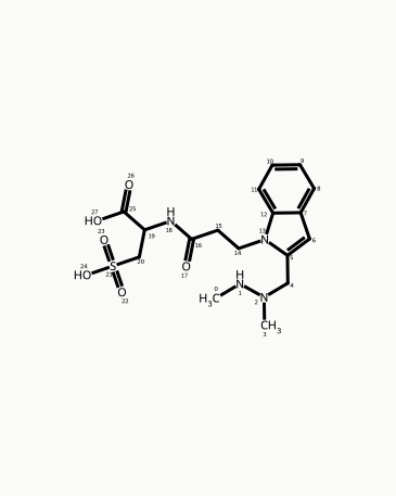 CNN(C)Cc1cc2ccccc2n1CCC(=O)NC(CS(=O)(=O)O)C(=O)O